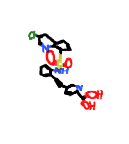 O=S(=O)(Nc1ccccc1C#Cc1ccc(C(O)O)nc1)c1cccc2cc(Cl)cnc12